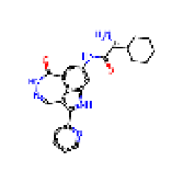 N[C@@H](C(=O)Nc1cc2c3c(c(-c4ccccn4)[nH]c3c1)C=NNC2=O)C1CCCCC1